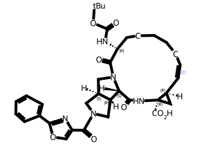 CC(C)(C)OC(=O)N[C@@H]1CCCCC/C=C\[C@H]2C[C@@]2(C(=O)O)NC(=O)[C@@H]2[C@H]3CN(C(=O)c4coc(-c5ccccc5)n4)C[C@H]3CN2C1=O